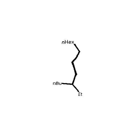 [CH2]CCCCCCCCC(CC)CCCC